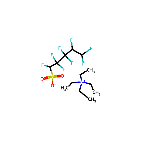 CC[N+](CC)(CC)CC.O=S(=O)([O-])C(F)C(F)(F)C(F)(F)C(F)C(F)F